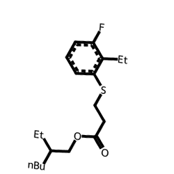 CCCCC(CC)COC(=O)CCSc1cccc(F)c1CC